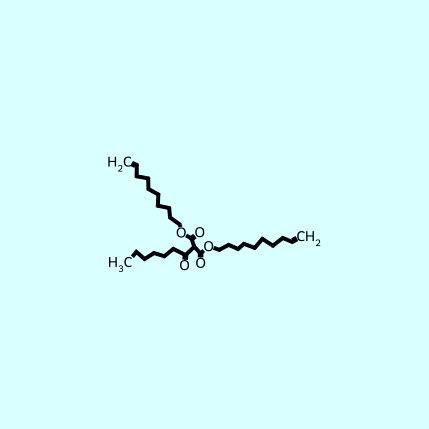 C=CCCCCCCCCOC(=O)C(C(=O)CCCCCC)C(=O)OCCCCCCCCC=C